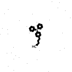 C#CCCCc1ccc(N(c2ccccc2)c2ccccc2)cc1